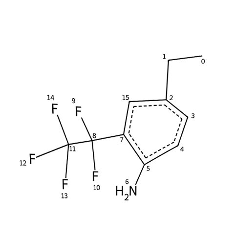 CCc1ccc(N)c(C(F)(F)C(F)(F)F)c1